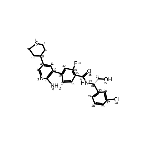 Nc1ncc(C2CCSCC2)cc1-c1ccc(C(=O)N[C@H](CO)c2cccc(Cl)c2)c(F)c1